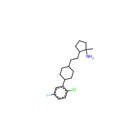 CC1(N)CCCC1CCC1CCC(c2cc(F)ccc2Cl)CC1